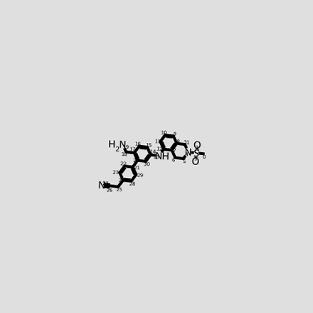 CS(=O)(=O)N1CCc2c(cccc2Nc2ccc(CN)c(-c3ccc(CC#N)cc3)c2)C1